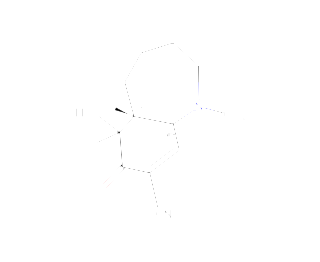 CN1CCCC[C@H]2C(C)(C)C(=O)C(C#N)=C[C@@]21C